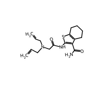 C=CCN(CC=C)CC(=O)Nc1sc2c(c1C(N)=O)CCCC2